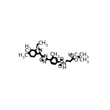 CCn1nc(-c2nc(-c3ccc(S(=O)(=O)NCCC(=O)OC(C)(C)C)cc3C)no2)c2c1CC(C)(C)CC2